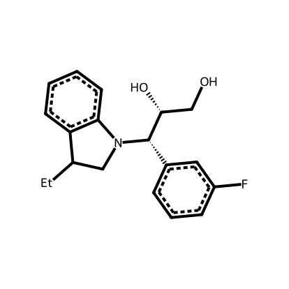 CCC1CN([C@@H](c2cccc(F)c2)[C@H](O)CO)c2ccccc21